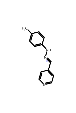 FC(F)(F)c1ccc(N/N=C/c2ccncc2)cc1